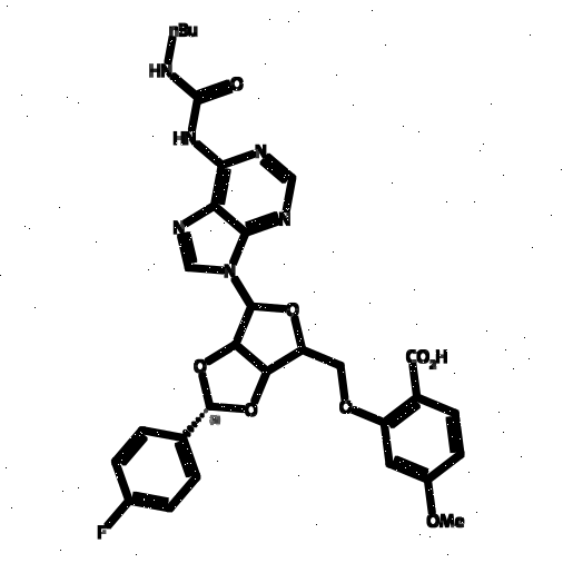 CCCCNC(=O)Nc1ncnc2c1ncn2C1OC(COc2cc(OC)ccc2C(=O)O)C2O[C@H](c3ccc(F)cc3)OC21